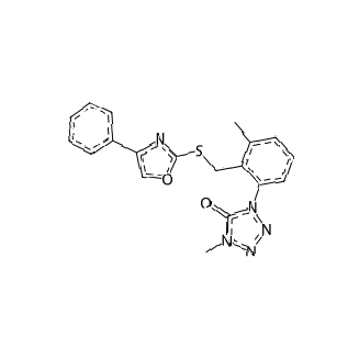 Cc1cccc(-n2nnn(C)c2=O)c1CSc1nc(-c2ccccc2)co1